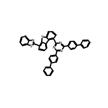 c1ccc(-c2ccc(-c3nc(-c4ccc(-c5ccccc5)cc4)nc(-c4cccc5sc6c(-c7nc8ccccc8s7)cccc6c45)n3)cc2)cc1